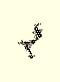 CC(C)[C@H](NC(=O)CCCCCN1C(=O)C=CC1=O)C(=O)N[C@@H](CCCN(N)C(N)=O)C(=O)Nc1ccc(COC(=O)Nc2cccc3c2C(=O)c2c(O)c4c(c(O)c2C3=O)C[C@@H](C(=O)CO)CC4)cc1